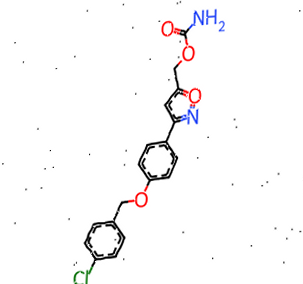 NC(=O)OCc1cc(-c2ccc(OCc3ccc(Cl)cc3)cc2)no1